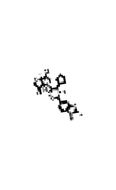 O=C(N[C@H](C(=O)N1C[C@H](Cl)[C@H]2OCC(=O)[C@H]21)C1CCCC1)c1ccc2[nH]c(=O)sc2c1